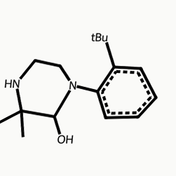 CC(C)(C)c1ccccc1N1CCNC(C)(C)C1O